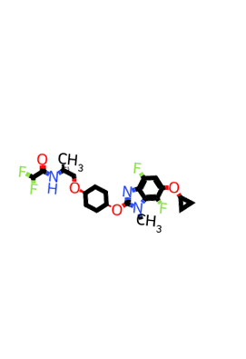 C[C@@H](CO[C@H]1CC[C@H](Oc2nc3c(F)cc(OC4CC4)c(F)c3n2C)CC1)NC(=O)C(F)F